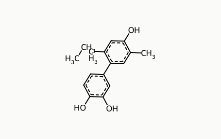 CC.Cc1cc(-c2ccc(O)c(O)c2)c(C)cc1O